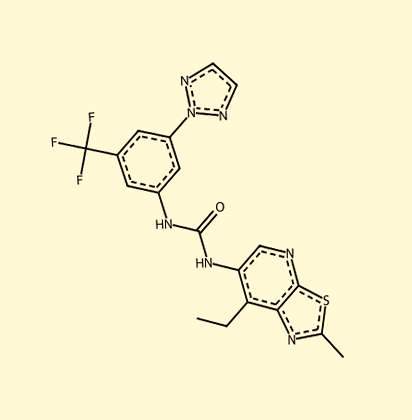 CCc1c(NC(=O)Nc2cc(-n3nccn3)cc(C(F)(F)F)c2)cnc2sc(C)nc12